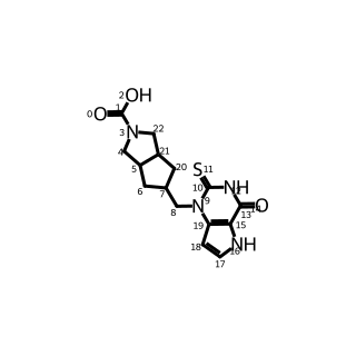 O=C(O)N1CC2CC(Cn3c(=S)[nH]c(=O)c4[nH]ccc43)CC2C1